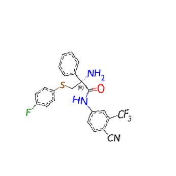 N#Cc1ccc(NC(=O)[C@@](N)(CSc2ccc(F)cc2)c2ccccc2)cc1C(F)(F)F